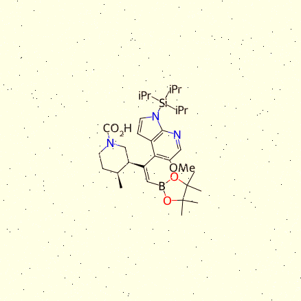 COc1cnc2c(ccn2[Si](C(C)C)(C(C)C)C(C)C)c1/C(=C\B1OC(C)(C)C(C)(C)O1)[C@@H]1CN(C(=O)O)CC[C@@H]1C